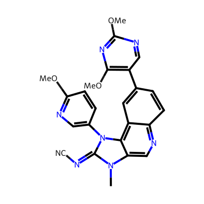 COc1ccc(-n2c(=NC#N)n(C)c3cnc4ccc(-c5cnc(OC)nc5OC)cc4c32)cn1